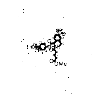 COC(=O)CCCC(=O)N1CCc2cc(S(C)(=O)=O)ccc2C1C(=O)Nc1ccc(C(C)(O)C(F)(F)F)cc1